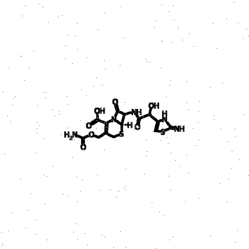 N=c1[nH]c(C(O)C(=O)NC2C(=O)N3C(C(=O)O)=C(COC(N)=O)CS[C@H]23)cs1